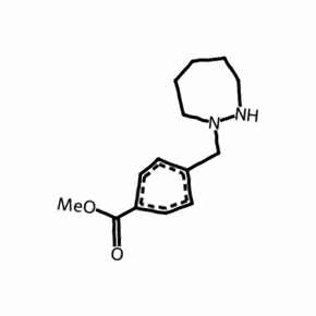 COC(=O)c1ccc(CN2CCCCCN2)cc1